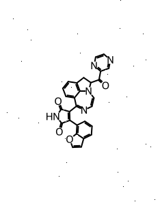 O=C1NC(=O)C(c2cccc3ccoc23)=C1C1=NC=CN2c3c(cccc31)CC2C(=O)c1cnccn1